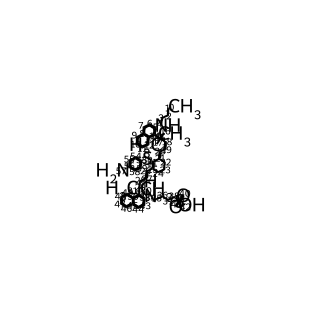 CCCCNc1ccc2ccccc2c1C(C)(C)/C=C\C=C1/CCCC(/C=C/CC(C)(C)c2c(NCCCCS(=O)(=O)O)ccc3ccccc23)=C1Sc1ccc(N)cc1